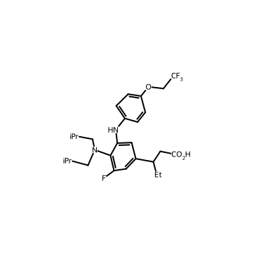 CCC(CC(=O)O)c1cc(F)c(N(CC(C)C)CC(C)C)c(Nc2ccc(OCC(F)(F)F)cc2)c1